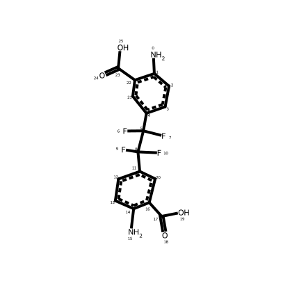 Nc1ccc(C(F)(F)C(F)(F)c2ccc(N)c(C(=O)O)c2)cc1C(=O)O